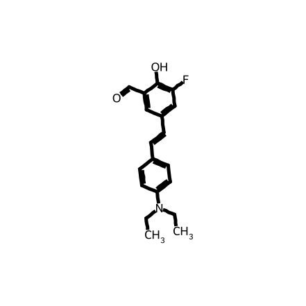 CCN(CC)c1ccc(/C=C/c2cc(F)c(O)c(C=O)c2)cc1